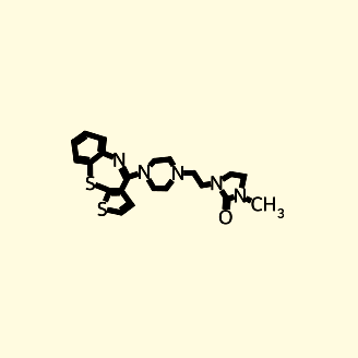 CN1CCN(CCN2CCN(C3=Nc4ccccc4Sc4sccc43)CC2)C1=O